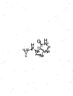 O=c1[nH]cnc2ncn(PC3CC3)c12